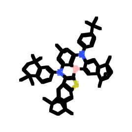 Cc1cc2c3c(c1)N(c1ccc4c(c1)C(C)(C)CCC4(C)C)c1c(sc4cc5c(cc14)C1(C)CCC5(C)CC1)B3c1cc3c(cc1N2c1ccc(C(C)(C)C)cc1)C1(C)CCC3(C)CC1